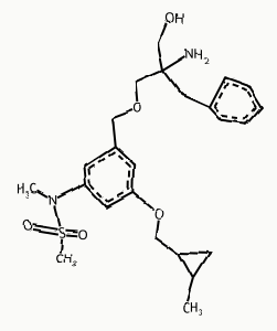 CC1CC1COc1cc(COCC(N)(CO)Cc2ccccc2)cc(N(C)S(C)(=O)=O)c1